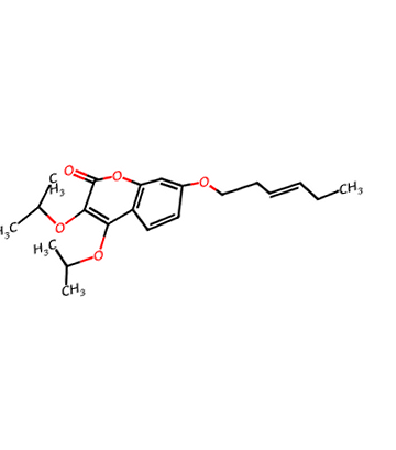 CCC=CCCOc1ccc2c(OC(C)C)c(OC(C)C)c(=O)oc2c1